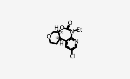 CCN1C(=O)O[C@H]2COCC[C@H]2c2cc(Cl)cnc21